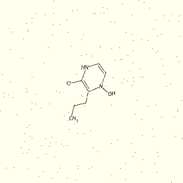 CCCC1=C(Cl)NC=CN1O